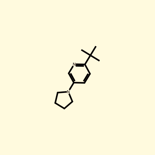 CC(C)(C)c1ccc(N2CCCC2)cn1